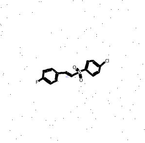 O=S(=O)(/C=C/c1ccc(F)cc1)c1ccc(Cl)cc1